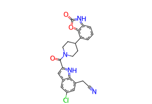 N#CCc1cc(Cl)cc2cc(C(=O)N3CCC(c4cccc5[nH]c(=O)oc45)CC3)[nH]c12